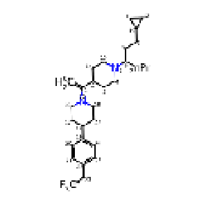 C=C(C1CCN(C(CCC)CCC2CC2)CC1)N1CCC(c2ccc(CC(F)(F)F)cc2)CC1